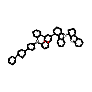 c1ccc(-c2ccc(-c3ccc(N(c4ccccc4)c4ccccc4-c4cccc(-c5cccc6c5c5ccccc5n6-c5cccc6c5sc5ccccc56)c4)cc3)cc2)cc1